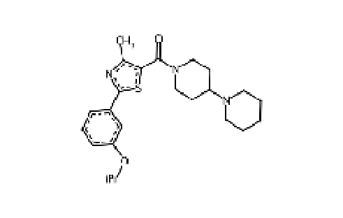 Cc1nc(-c2cccc(OC(C)C)c2)sc1C(=O)N1CCC(N2CCCCC2)CC1